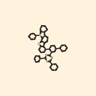 c1ccc(-c2ccc(-c3cccc4oc5c(ccc6c7ccccc7n(-c7ccccc7)c65)c34)c(-c3nc(-c4ccccc4)nc(-c4ccccc4)n3)c2)cc1